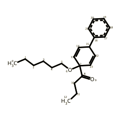 CCCCCCOC1(C(=O)CCC)C=CC(c2ccccc2)C=C1